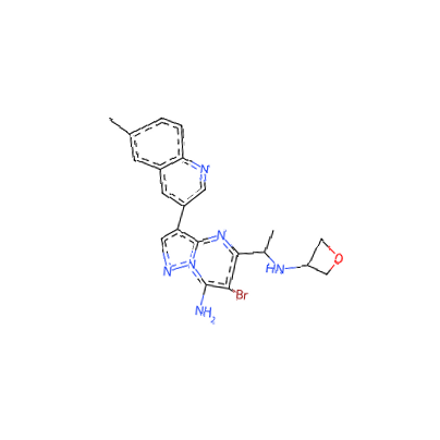 Cc1ccc2ncc(-c3cnn4c(N)c(Br)c(C(C)NC5COC5)nc34)cc2c1